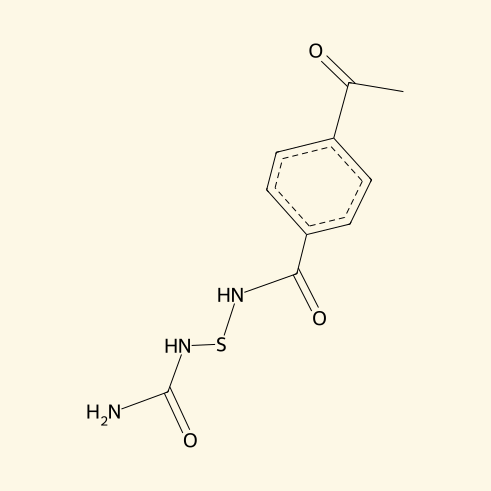 CC(=O)c1ccc(C(=O)NSNC(N)=O)cc1